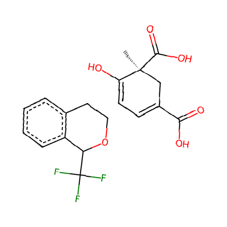 C[C@]1(C(=O)O)CC(C(=O)O)=CC=C1O.FC(F)(F)C1OCCc2ccccc21